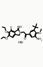 Br.CCOc1cc2c(c(F)c1OCC)C(=N)N(CC(=O)c1cc(N)c(OC)c(C(C)(C)C)c1)C2